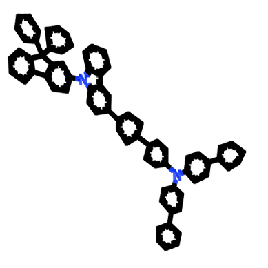 c1ccc(-c2ccc(N(c3ccc(-c4ccccc4)cc3)c3ccc(-c4ccc(-c5ccc6c(c5)c5ccccc5n6-c5ccc6c(c5)C(c5ccccc5)(c5ccccc5)c5ccccc5-6)cc4)cc3)cc2)cc1